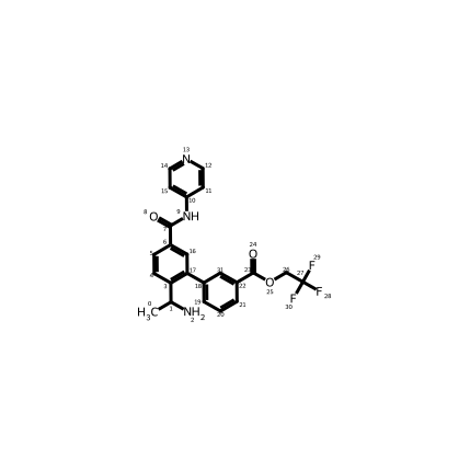 CC(N)c1ccc(C(=O)Nc2ccncc2)cc1-c1cccc(C(=O)OCC(F)(F)F)c1